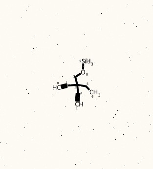 C#CC(C#C)(CC)CO[SiH3]